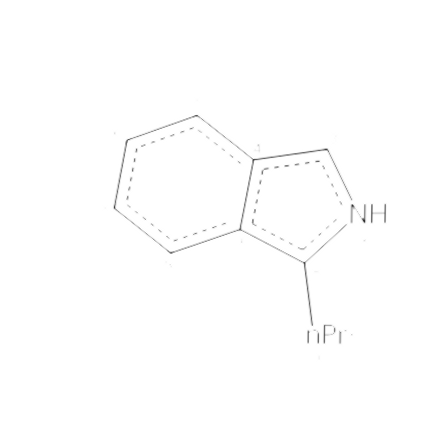 CC[CH]c1[nH]cc2ccccc12